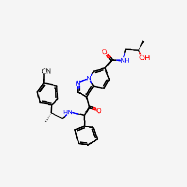 C[C@@H](O)CNC(=O)c1ccc2c(C(=O)C(NC[C@H](C)c3ccc(C#N)cc3)c3ccccc3)cnn2c1